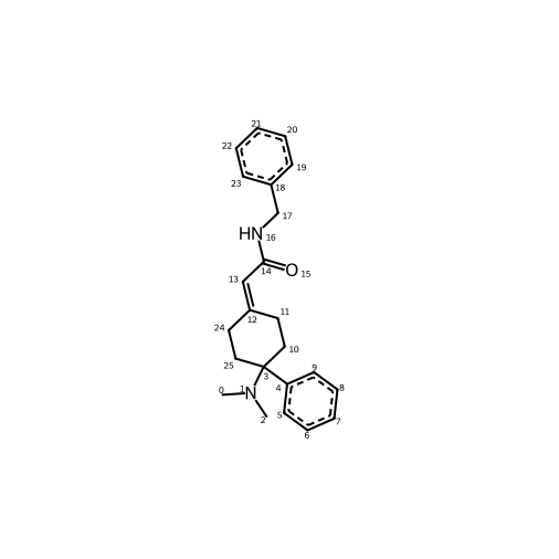 CN(C)C1(c2ccccc2)CCC(=CC(=O)NCc2ccccc2)CC1